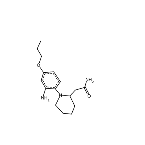 CCCOc1ccc(N2CCCCC2CC(N)=O)c(N)c1